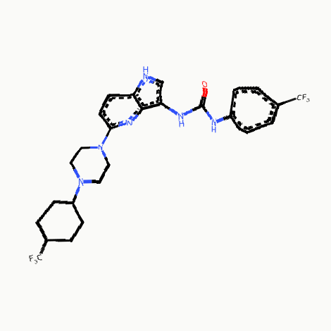 O=C(Nc1ccc(C(F)(F)F)cc1)Nc1c[nH]c2ccc(N3CCN(C4CCC(C(F)(F)F)CC4)CC3)nc12